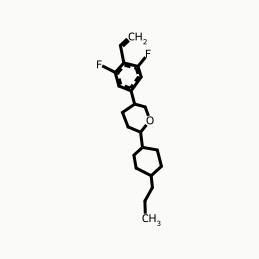 C=Cc1c(F)cc(C2CCC(C3CCC(CCC)CC3)OC2)cc1F